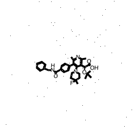 Cc1nc(C)c([C@H](OC(C)(C)C)C(=O)O)c(N2CCC(C)(F)CC2)c1-c1ccc(C(=O)NCc2ccccc2)cc1